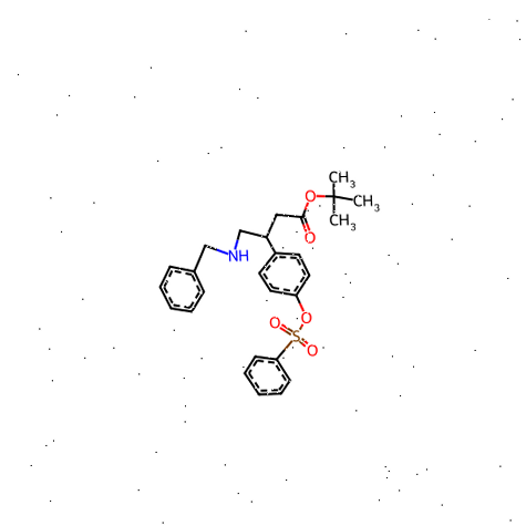 CC(C)(C)OC(=O)CC(CNCc1ccccc1)c1ccc(OS(=O)(=O)c2ccccc2)cc1